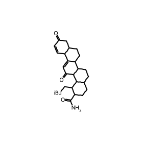 CCC(C)CC1C(C(N)=O)CCC2CCC3C4CCC5CC(=O)C=CC5C4=CC(=O)C3C21